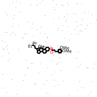 CCC(CCC1C(C)C23CCC4C(CC=C5CC(OC(=O)/C=C/c6ccc(OC)c(OC)c6)CCC54C)C2CCC13)C(C)C